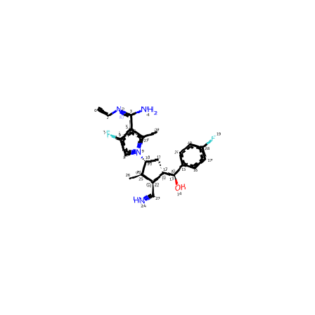 C=C/N=C(/N)c1c(F)cn([C@@H]2C[C@H]([C@H](O)c3ccc(F)cc3)[C@@H](C=N)[C@H]2C)c1C